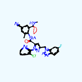 CNC(=O)c1cc(C#N)cc(C)c1NC(=O)c1cc(Cn2nnc3ccc(F)cc32)nn1-c1ncccc1Cl